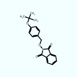 CC(C)(C)Oc1ccc(CON2C(=O)c3ccccc3C2=O)cc1